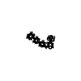 CC(C)(C)OC(=O)N1CCOC(Cc2ccc(N3CCC(c4ncccn4)CC3)cc2)C1